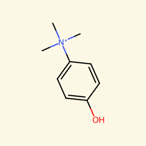 C[N+](C)(C)c1ccc(O)cc1